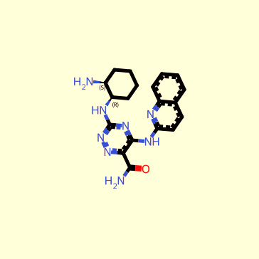 NC(=O)c1nnc(N[C@@H]2CCCC[C@@H]2N)nc1Nc1ccc2ccccc2n1